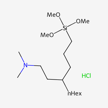 CCCCCCC(CCC[Si](OC)(OC)OC)CCN(C)C.Cl